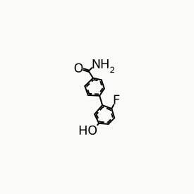 NC(=O)c1ccc(-c2cc(O)ccc2F)cc1